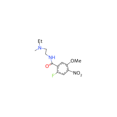 CCN(C)CCNC(=O)c1cc(OC)c([N+](=O)[O-])cc1F